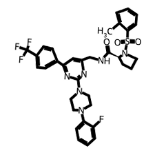 Cc1ccccc1S(=O)(=O)N1CCC[C@H]1C(=O)NCc1cc(-c2ccc(C(F)(F)F)cc2)nc(N2CCN(c3ccccc3F)CC2)n1